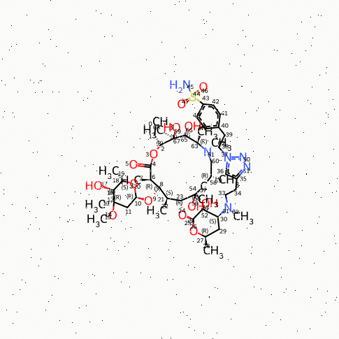 CC[C@H]1OC(=O)[C@H](C)[C@@H](O[C@H]2C[C@@](C)(OC)[C@@H](O)[C@H](C)O2)[C@H](C)[C@@H](O[C@@H]2O[C@H](C)C[C@H](N(C)CCc3cn(CCc4ccc(S(N)(=O)=O)cc4)nn3)[C@H]2O)[C@](C)(O)C[C@@H](C)CN(C)[C@H](C)[C@@H](O)[C@]1(C)O